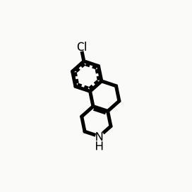 Clc1ccc2c(c1)CCC1=C2CCNC1